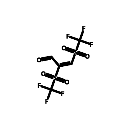 O=C/C(=C\S(=O)(=O)C(F)(F)F)S(=O)(=O)C(F)(F)F